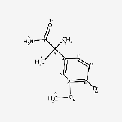 COc1cc(C(C)(C)C(N)=O)ccc1Br